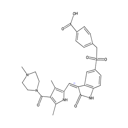 Cc1[nH]c(/C=C2\C(=O)Nc3ccc(S(=O)(=O)Cc4ccc(C(=O)O)cc4)cc32)c(C)c1C(=O)N1CCN(C)CC1